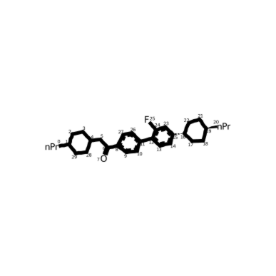 CCCC1CCC(CC(=O)c2ccc(-c3ccc([C@H]4CC[C@H](CCC)CC4)cc3F)cc2)CC1